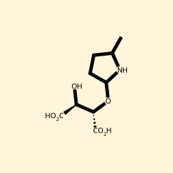 CC1CCC(O[C@H](C(=O)O)[C@H](O)C(=O)O)N1